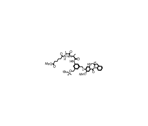 COC(=O)CCCCC(=O)N[C@@H](C)C(=O)N[C@@H](C)C(=O)Nc1cc(COc2cc3c(cc2OC)C(=O)N2c4ccccc4C[C@H]2CN3)cc(CO[Si](C)(C)C(C)(C)C)c1